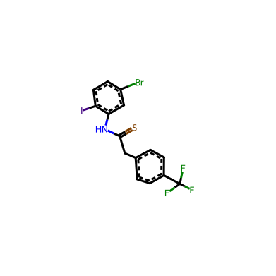 FC(F)(F)c1ccc(CC(=S)Nc2cc(Br)ccc2I)cc1